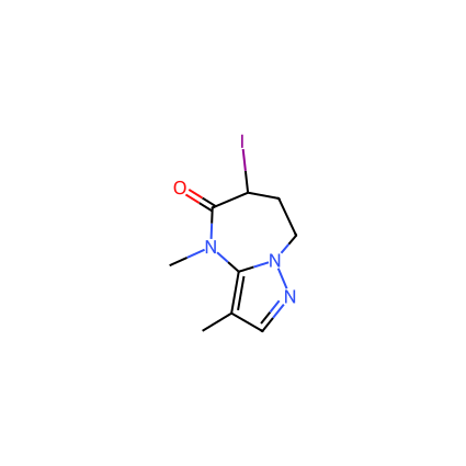 Cc1cnn2c1N(C)C(=O)C(I)CC2